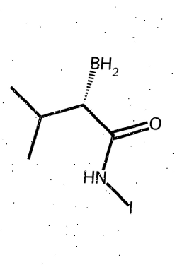 B[C@H](C(=O)NI)C(C)C